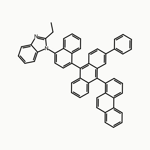 CCc1nc2ccccc2n1-c1ccc(-c2c3ccccc3c(-c3cccc4c3ccc3ccccc34)c3cc(-c4ccccc4)ccc23)c2ccccc12